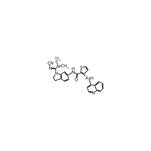 CN(C)C(=NC#N)N1CCc2ccc(NC(=O)c3sccc3[AsH]Cc3ccnc4ccccc34)cc21